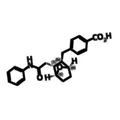 O=C(C[C@@H]1[C@@H](Cc2ccc(C(=O)O)cc2)[C@H]2CC[C@@H]1O2)Nc1ccccc1